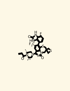 C=CC(=O)N1[C@H](C)CN(c2nc(=O)n3c4c(c(-c5ccc(F)c6[nH]c(=O)[nH]c56)c(C(F)(F)F)cc24)SCC2(CSC2)C3)C[C@@H]1C